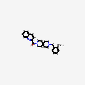 CC(C)COc1ccccc1CN1CCC2(CC1)CCN(C(=O)c1ccc3ccccc3n1)CC2